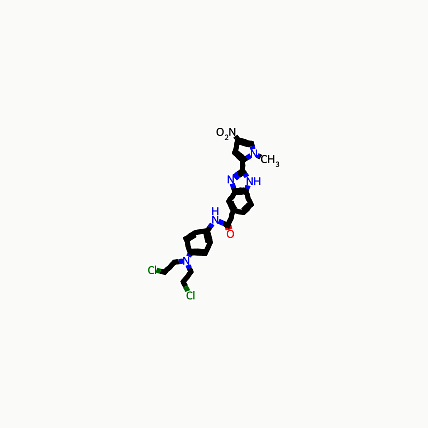 Cn1cc([N+](=O)[O-])cc1-c1nc2cc(C(=O)Nc3ccc(N(CCCl)CCCl)cc3)ccc2[nH]1